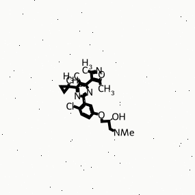 CNC[C@@H](O)COc1ccc(Cl)c(-c2nc(-c3c(C)noc3C)c(C)c(C3(C)CC3)n2)c1